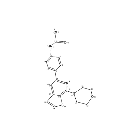 O=C(O)Nc1ccc(-c2nc(N3CCOCC3)c3sccc3n2)cc1